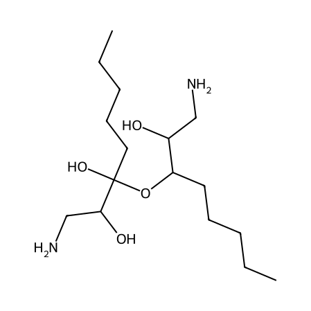 CCCCCC(OC(O)(CCCCC)C(O)CN)C(O)CN